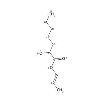 CC=COC(=O)C(O)CCCCC